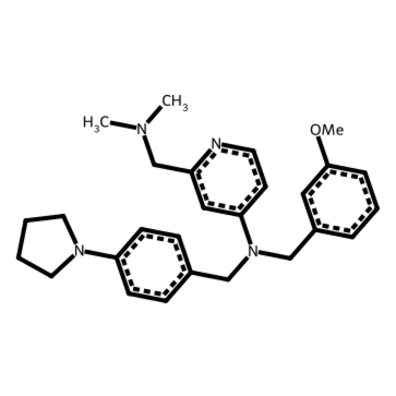 COc1cccc(CN(Cc2ccc(N3CCCC3)cc2)c2ccnc(CN(C)C)c2)c1